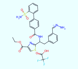 CCOC(=O)c1csc(C(Cc2cccc(/C=N\N)c2)NC(=O)c2ccc(-c3ccccc3S(N)(=O)=O)cc2)n1.O=C(O)C(F)(F)F